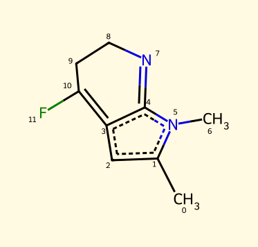 Cc1cc2c(n1C)=NCCC=2F